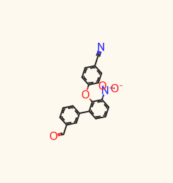 N#Cc1ccc(Oc2c(-c3cccc(C=O)c3)cccc2[N+](=O)[O-])cc1